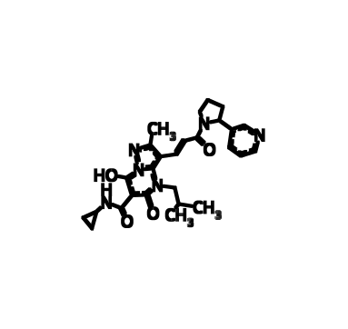 Cc1nn2c(O)c(C(=O)NC3CC3)c(=O)n(CC(C)C)c2c1C=CC(=O)N1CCCC1c1cccnc1